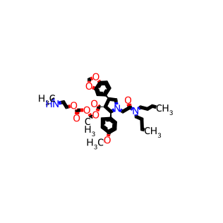 CCCCN(CCCC)C(=O)CN1C[C@H](c2ccc3c(c2)OCO3)[C@@H](C(=O)OC(C)OC(=O)OCCNC)[C@@H]1c1ccc(OC)cc1